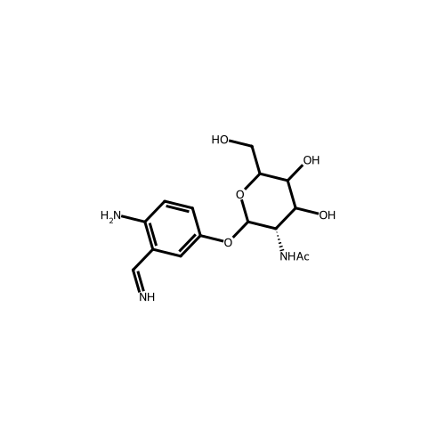 CC(=O)N[C@@H]1C(Oc2ccc(N)c(C=N)c2)OC(CO)C(O)C1O